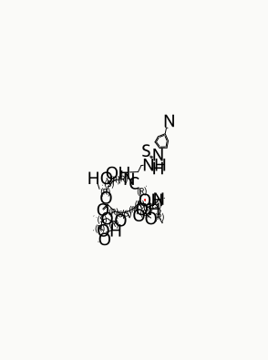 CC[C@H]1OC(=O)[C@H](C)[C@@H](O[C@@H](CCOC)O[C@@H](C)[C@@H](C)O)[C@H](C)[C@@H](O[C@@H]2O[C@H](C)C[C@H](N(C)C)[C@H]2O)[C@](C)(O)C[C@@H](C)CN(CCCNC(=S)Nc2ccc(C#N)cc2)[C@H](C)[C@@H](O)[C@]1(C)O